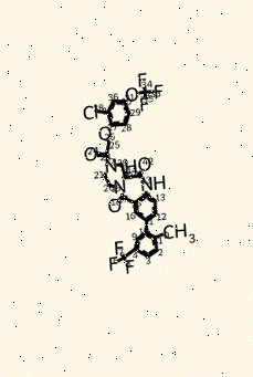 Cc1ccc(C(F)(F)F)cc1-c1ccc2c(c1)C(=O)N1CCN(C(=O)COc3ccc(OC(F)(F)F)cc3Cl)C[C@H]1C(=O)N2